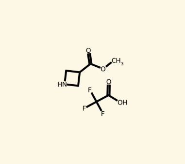 COC(=O)C1CNC1.O=C(O)C(F)(F)F